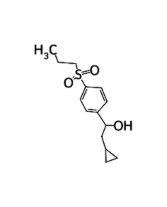 CCCS(=O)(=O)c1ccc(C(O)CC2CC2)cc1